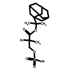 CCCS(=O)(=O)OCC(C)(C(C)=O)C(=O)OC(C)(C)C12CC3CC(CC(C3)C1)C2